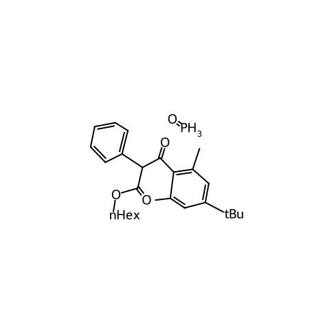 CCCCCCOC(=O)C(C(=O)c1c(C)cc(C(C)(C)C)cc1C)c1ccccc1.O=[PH3]